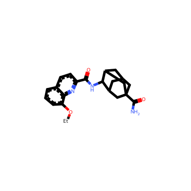 CCOc1cccc2ccc(C(=O)NC3C4CC5CC3CC(C(N)=O)(C5)C4)nc12